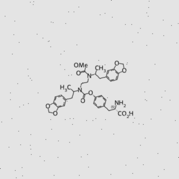 COC(=O)N(CCN(C(=O)Oc1ccc(C[C@H](N)C(=O)O)cc1)C(C)Cc1ccc2c(c1)OCO2)C(C)Cc1ccc2c(c1)OCO2